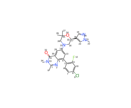 Cc1nc2c(-c3ccc(Cl)cc3F)cc(N3C[C@H](c4cnn(C)c4)OC(C)(C)C3)cc2c(=O)n1C